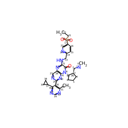 C=NC[C@H]1CCC[C@@H]1n1c(=O)c(NCc2ccc(S(=O)(=O)CC)cn2)nc2cnc(-c3c(C)ncnc3C3CC3)nc21